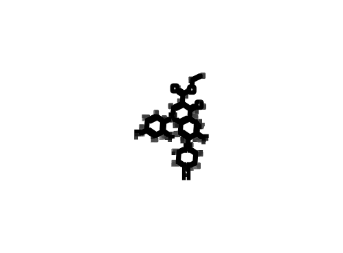 CCOC(=O)c1cn(-c2ccc(F)cc2F)c2cc(N3CCNCC3)c(F)nc2c1=O